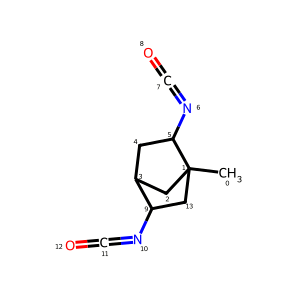 CC12CC(CC1N=C=O)C(N=C=O)C2